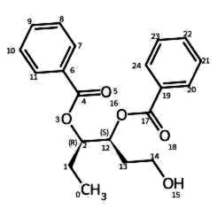 CC[C@@H](OC(=O)c1ccccc1)[C@H](CCO)OC(=O)c1ccccc1